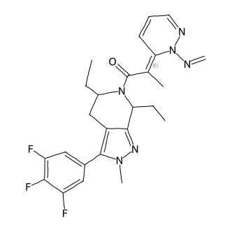 C=NN1N=CC=C/C1=C(/C)C(=O)N1C(CC)Cc2c(nn(C)c2-c2cc(F)c(F)c(F)c2)C1CC